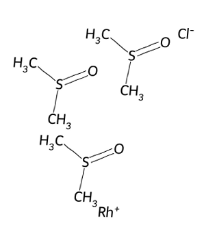 CS(C)=O.CS(C)=O.CS(C)=O.[Cl-].[Rh+]